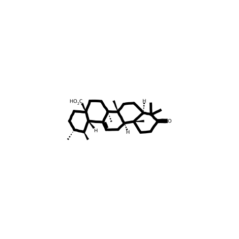 C[C@H]1[C@H](C)CC[C@]2(C(=O)O)CC[C@]3(C)C(=CC[C@@H]4[C@@]5(C)CCC(=O)C(C)(C)[C@@H]5CC[C@]43C)[C@H]12